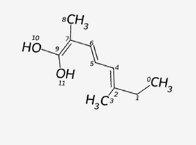 CCC(C)=CC=CC(C)=C(O)O